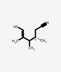 C/C(=C\S)C(C)[C@@H](C)CC#N